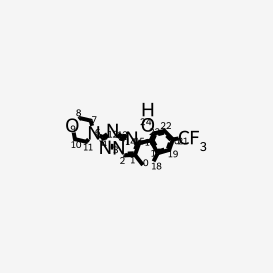 Cc1cn2nc(N3CCOCC3)nc2nc1-c1c(C)cc(C(F)(F)F)cc1O